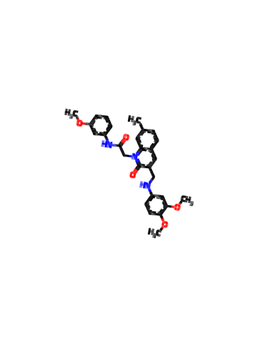 COc1cccc(NC(=O)Cn2c(=O)c(CNc3ccc(OC)c(OC)c3)cc3ccc(C)cc32)c1